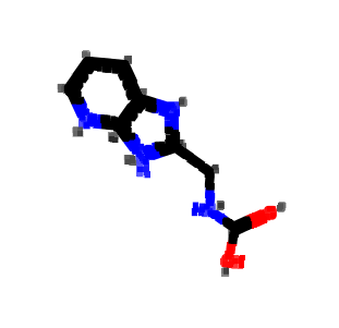 O=C(O)NCc1nc2cccnc2[nH]1